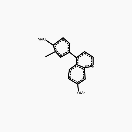 COc1ccc2c(-c3ccc(OC)c(C)c3)ccnc2c1